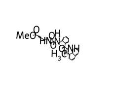 COC(=O)C#CCCNC(=O)C(=O)NCc1ccccc1C(=O)C(=N)[C@H](C)c1cccc2ccccc12